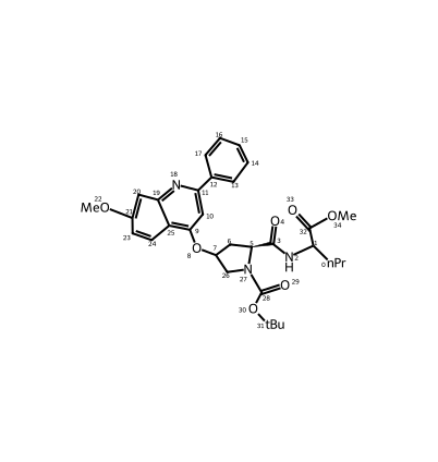 CCCC(NC(=O)[C@@H]1CC(Oc2cc(-c3ccccc3)nc3cc(OC)ccc23)CN1C(=O)OC(C)(C)C)C(=O)OC